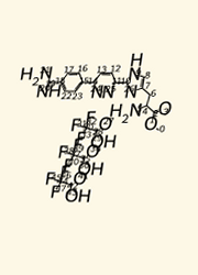 COC(=O)C(N)Cc1c[nH]c(-c2ccc(-c3ccc(C(=N)N)cc3)nn2)n1.O=C(O)C(F)(F)F.O=C(O)C(F)(F)F.O=C(O)C(F)(F)F